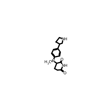 CN(c1ccc(C2CCNC2)cc1)C1CCC(=O)NC1=O